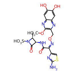 C[C@H]1[C@@H](NC(=O)/C(=N\OCc2nc3cc(O)c(O)cc3nc2OC(=O)O)c2csc(N)n2)C(=O)N1S(=O)(=O)O